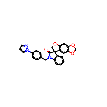 O=C1N(Cc2ccc(-n3cccn3)cc2)c2ccccc2C12COc1cc3c(cc12)OCO3